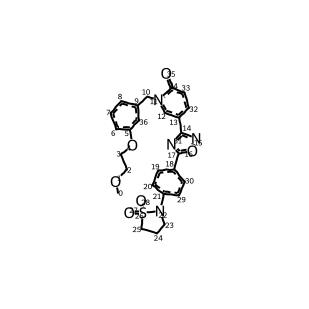 COCCOc1cccc(Cn2cc(-c3noc(-c4ccc(N5CCCS5(=O)=O)cc4)n3)ccc2=O)c1